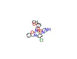 COc1ccccc1CN1C(=O)N(Cc2ccccc2)c2cc(Cl)cc(N3CCNCC3)c2S1(=O)=O